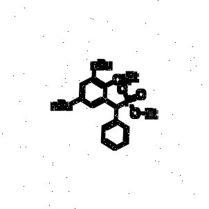 CCCCc1cc(CCCC)c(O)c(C(c2ccccc2)P(=O)(OCC)OCC)c1